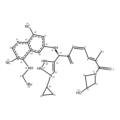 C=C(/C=C\C=C(/C)C(=O)N1CC(O)C1)[C@H](Nc1cc(C#N)c2ncc(C#N)c(NCC(C)(C)C)c2c1)C1=CN(C2CC2)NN1